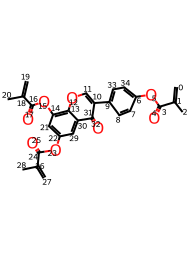 C=C(C)C(=O)Oc1ccc(-c2coc3c(OC(=O)C(=C)C)cc(OC(=O)C(=C)C)cc3c2=O)cc1